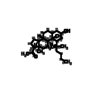 CCCC[Si](C)(C)C1CC(O)CC2CC[C@@H]3[C@H](CC[C@]4(C)[C@@H](C(C)=O)CC[C@@H]34)[C@]21C